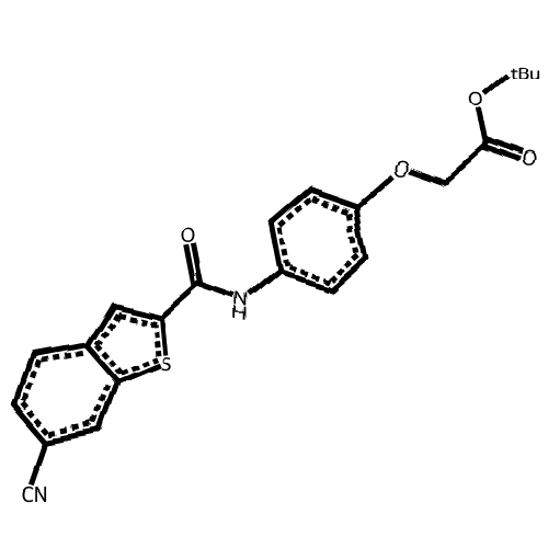 CC(C)(C)OC(=O)COc1ccc(NC(=O)c2cc3ccc(C#N)cc3s2)cc1